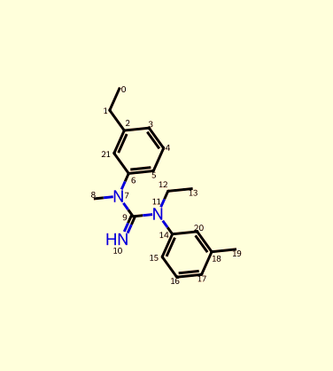 CCc1cccc(N(C)C(=N)N(CC)c2cccc(C)c2)c1